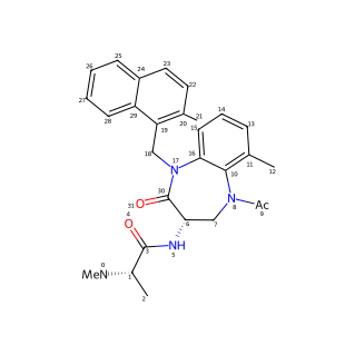 CN[C@@H](C)C(=O)N[C@H]1CN(C(C)=O)c2c(C)cccc2N(Cc2c(C)ccc3ccccc23)C1=O